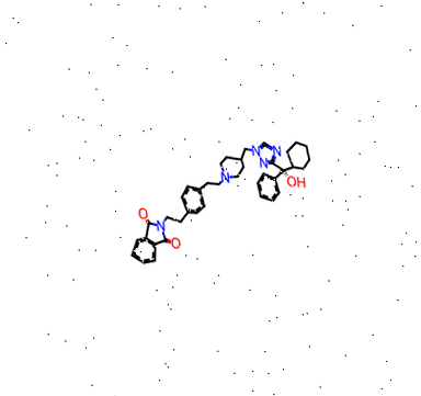 O=C1c2ccccc2C(=O)N1CCc1ccc(CCN2CCC(Cn3cnc([C@](O)(c4ccccc4)C4CCCCC4)n3)CC2)cc1